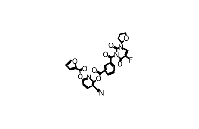 N#Cc1ccc(OC(=O)c2ccco2)nc1OC(=O)c1cccc(C(=O)n2c(=O)c(F)cn(C3CCCO3)c2=O)c1